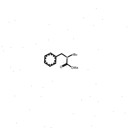 CCCCN(Cc1ccccc1)C(=O)OC